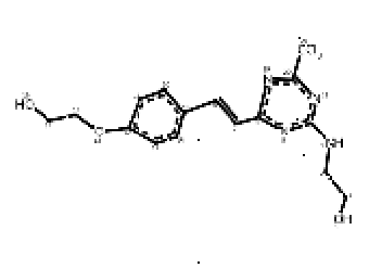 OCCNc1nc(/C=C/c2ccc(OCCO)cc2)nc(C(Cl)(Cl)Cl)n1